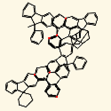 CC1(c2ccccc2)c2ccccc2-c2ccc(N(c3ccc4c(c3)C3(c5ccccc5-4)C4CC5CC(C4)C(c4ccc6c(c4)C(C)(c4ccccc4)c4cc(N(c7ccc8c(c7)C7(CCCCC7)c7ccccc7-8)c7ccccc7-c7ccccc7-c7ccccc7-c7ccccc7)ccc4-6)C3C5)c3ccccc3-c3ccccc3-c3ccccc3-c3ccccc3)cc21